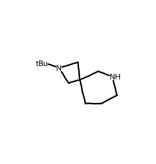 CC(C)(C)N1CC2(CCCNC2)C1